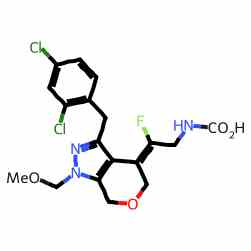 COCn1nc(Cc2ccc(Cl)cc2Cl)c2c1COCC2=C(F)CNC(=O)O